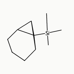 C[Si](C)(C)C12C3CCCC1C32